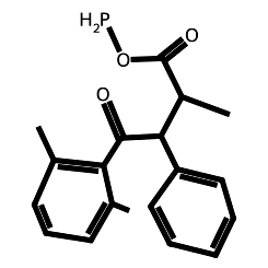 Cc1cccc(C)c1C(=O)C(c1ccccc1)C(C)C(=O)OP